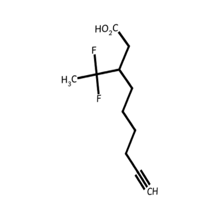 C#CCCCCC(CC(=O)O)C(C)(F)F